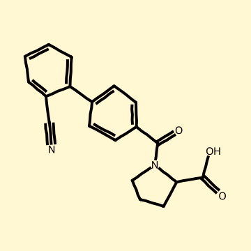 N#Cc1ccccc1-c1ccc(C(=O)N2CCCC2C(=O)O)cc1